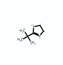 CC(C)(C)C1=NCCS1